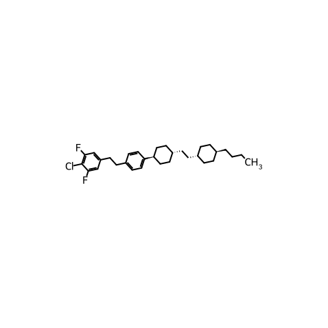 CCCC[C@H]1CC[C@H](CC[C@H]2CC[C@H](c3ccc(CCc4cc(F)c(Cl)c(F)c4)cc3)CC2)CC1